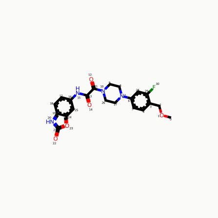 COCc1ccc(N2CCN(C(=O)C(=O)Nc3ccc4[nH]c(=O)oc4c3)CC2)cc1F